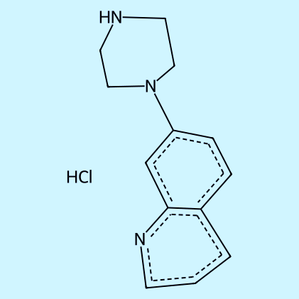 Cl.c1cnc2cc(N3CCNCC3)ccc2c1